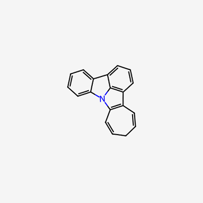 C1=Cc2c(n3c4ccccc4c4cccc2c43)C=CC1